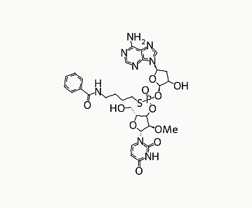 CO[C@@H]1C(OP(=O)(O[C@H]2O[C@@H](n3cnc4c(N)ncnc43)CC2O)SCCCCNC(=O)c2ccccc2)[C@@H](CO)O[C@H]1n1ccc(=O)[nH]c1=O